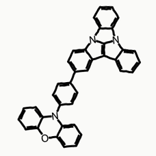 c1ccc2c(c1)Oc1ccccc1N2c1ccc(-c2ccc3c(c2)c2c4ccccc4n4c5ccccc5n3c24)cc1